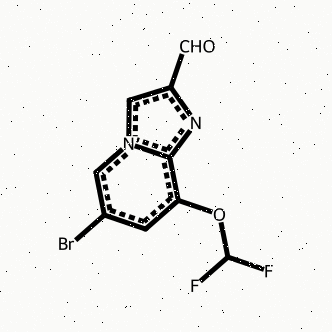 O=Cc1cn2cc(Br)cc(OC(F)F)c2n1